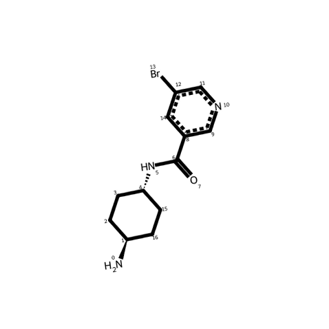 N[C@H]1CC[C@H](NC(=O)c2cncc(Br)c2)CC1